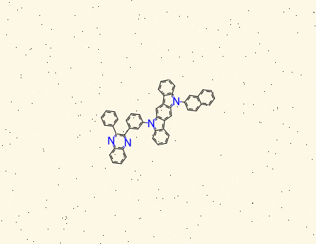 c1ccc(-c2nc3ccccc3nc2-c2cccc(-n3c4ccccc4c4cc5c(cc43)c3ccccc3n5-c3ccc4ccccc4c3)c2)cc1